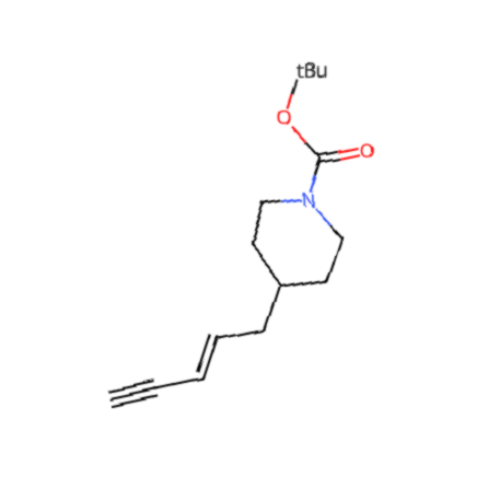 C#CC=CCC1CCN(C(=O)OC(C)(C)C)CC1